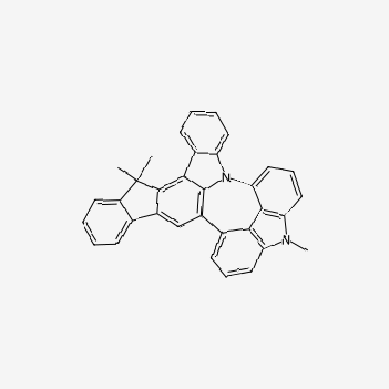 Cn1c2cccc3c4cc5c(c6c7ccccc7n(c7cccc1c7c32)c46)C(C)(C)c1ccccc1-5